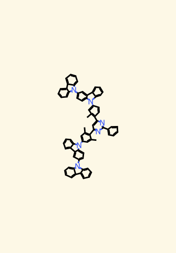 Cc1cc(-n2c3ccccc3c3cc(-n4c5ccccc5c5ccccc54)ccc32)ccc1-c1cc(-c2c(C)cc(-n3c4ccccc4c4cc(-n5c6ccccc6c6ccccc65)ccc43)cc2C)nc(-c2ccccc2)n1